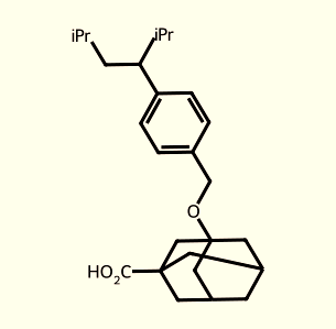 CC(C)CC(c1ccc(COC23CC4CC(C2)CC(C(=O)O)(C4)C3)cc1)C(C)C